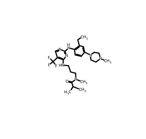 CCc1cc(N2CCN(C)CC2)ccc1Nc1ncc(C(F)(F)F)c(NCCCN(C)C(=O)C(C)C)n1